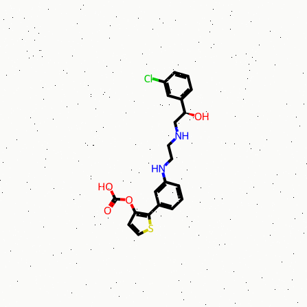 O=C(O)Oc1ccsc1-c1cccc(NCCNC[C@H](O)c2cccc(Cl)c2)c1